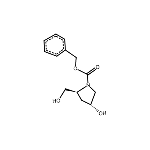 O=C(OCc1ccccc1)N1C[C@H](O)C[C@H]1CO